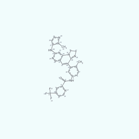 Cc1ccc(NC(=O)c2cc(C(F)(F)F)ccn2)cc1C1=Cc2cnc(Nc3ccnn3C)nc2N2CCN=C12